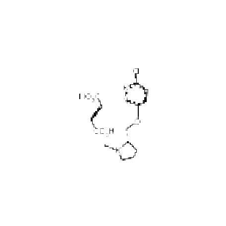 CN1CCC[C@H]1COc1ccc(Cl)nn1.O=C(O)C=CC(=O)O